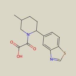 CC1CCC(c2ccc3scnc3c2)N(C(=O)C(=O)O)C1